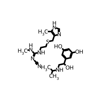 CC(C)NCC(O)c1cc(O)cc(O)c1.CN/C(=N/C#N)NCCSCc1nc[nH]c1C